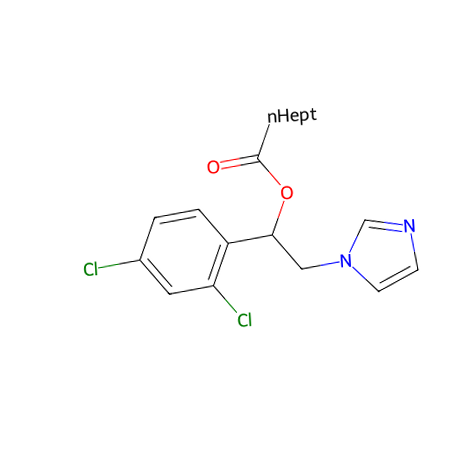 CCCCCCCC(=O)OC(Cn1ccnc1)c1ccc(Cl)cc1Cl